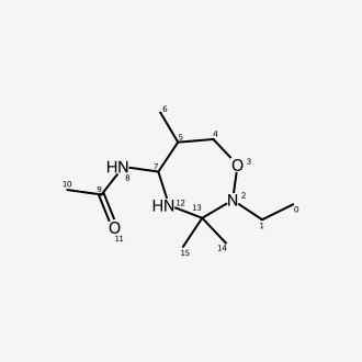 CCN1OCC(C)C(NC(C)=O)NC1(C)C